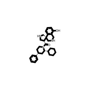 O=C([C@@H]1CNC[C@]12CNCc1c(O)cccc12)N1CC[C@@H](c2ccccc2)C[C@H]1C1CCCCC1